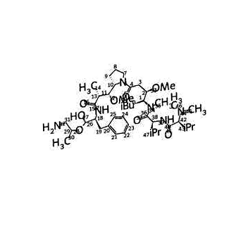 CC[C@H](C)[C@@H]([C@@H](CC(=O)N1CCC[C@H]1[C@H](OC)[C@@H](C)C(=O)N[C@@H](Cc1ccccc1)C(O)OC(C)CN)OC)N(C)C(=O)[C@@H](NC(=O)[C@H](C(C)C)N(C)C)C(C)C